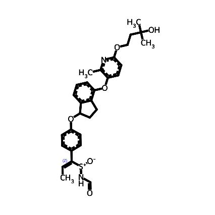 C/C=C(/c1ccc(OC2CCc3c(Oc4ccc(OCCC(C)(C)O)nc4C)cccc32)cc1)[S+]([O-])NC=O